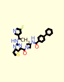 CC(Nc1nc(C(=O)N2CC(NC(=O)c3ccc(-c4ccccc4)cc3)C2)c2sccc2n1)c1cncc(F)c1